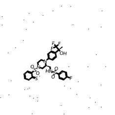 C[C@@](O)(c1ccc(N2CCN(S(=O)(=O)C3=CC=CCC3=S)C[C@@H]2CNS(=O)(=O)c2ccc(F)cc2)cc1)C(F)(F)F